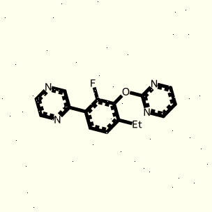 CCc1ccc(-c2cnccn2)c(F)c1Oc1ncccn1